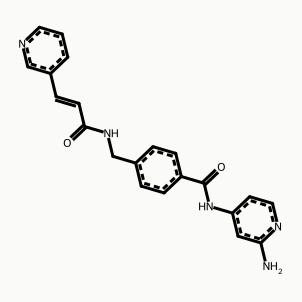 Nc1cc(NC(=O)c2ccc(CNC(=O)C=Cc3cccnc3)cc2)ccn1